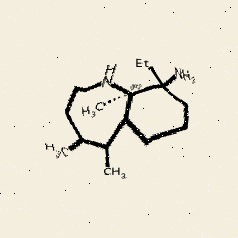 CCC1(N)CCCC2C(C)C(C)CCN[C@]21C